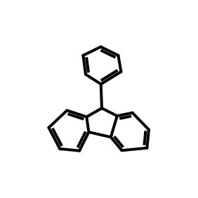 c1ccc([C]2c3ccccc3-c3ccccc32)cc1